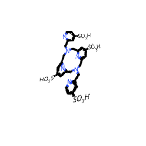 O=S(=O)(O)c1ccnc(CN2Cc3cc(S(=O)(=O)O)cc(n3)CN(Cc3cc(S(=O)(=O)O)ccn3)Cc3cc(S(=O)(=O)O)cc(n3)C2)c1